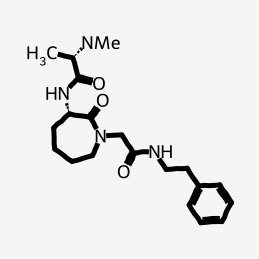 CN[C@@H](C)C(=O)N[C@H]1CCCCN(CC(=O)NCCc2ccccc2)C1=O